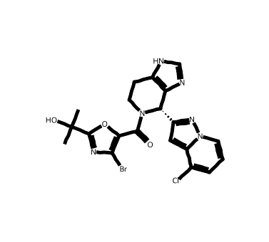 CC(C)(O)c1nc(Br)c(C(=O)N2CCc3[nH]cnc3[C@@H]2c2cc3c(Cl)cccn3n2)o1